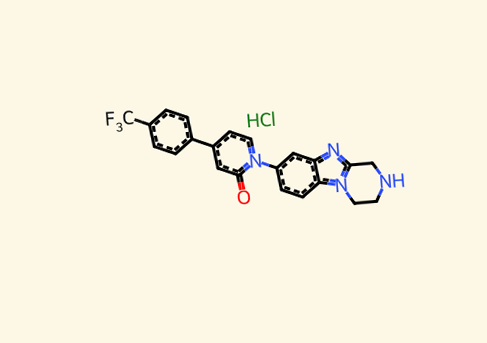 Cl.O=c1cc(-c2ccc(C(F)(F)F)cc2)ccn1-c1ccc2c(c1)nc1n2CCNC1